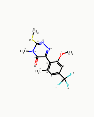 COc1cc(C(F)(F)F)cc(C)c1-c1nnc(SC)n(C)c1=O